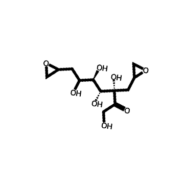 O=C(CO)[C@](O)(CC1CO1)[C@H](O)[C@H](O)C(O)CC1CO1